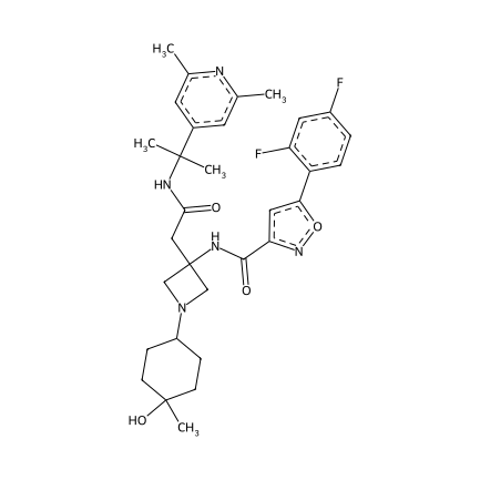 Cc1cc(C(C)(C)NC(=O)CC2(NC(=O)c3cc(-c4ccc(F)cc4F)on3)CN(C3CCC(C)(O)CC3)C2)cc(C)n1